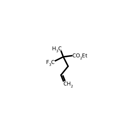 C=CCC(C)(C(=O)OCC)C(F)(F)F